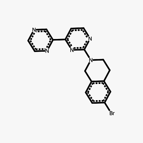 Brc1ccc2c(c1)CCN(c1nccc(-c3cnccn3)n1)C2